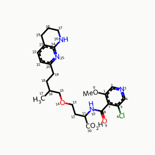 COc1cncc(Cl)c1C(=O)NC(CCOCC(C)CCc1ccc2c(n1)NCCC2)C(=O)O